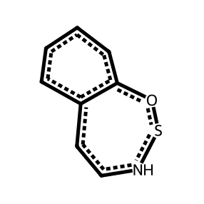 c1ccc2os[nH]ccc2c1